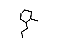 CCCC1COCCN1C